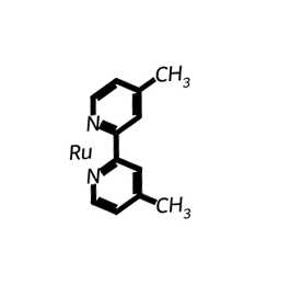 Cc1ccnc(-c2cc(C)ccn2)c1.[Ru]